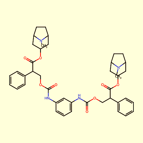 CN1C2CCC1CC(OC(=O)C(COC(=O)Nc1cccc(NC(=O)OCC(C(=O)OC3CC4CCC(C3)N4C)c3ccccc3)c1)c1ccccc1)C2